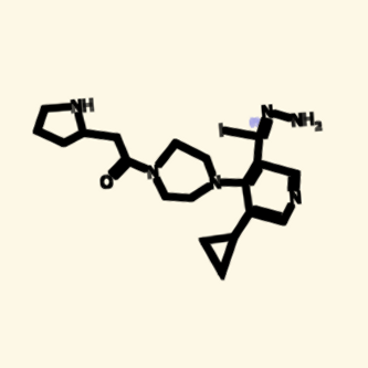 N/N=C(/I)c1cncc(C2CC2)c1N1CCN(C(=O)CC2CCCN2)CC1